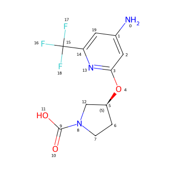 Nc1cc(O[C@H]2CCN(C(=O)O)C2)nc(C(F)(F)F)c1